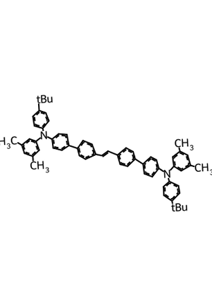 Cc1cc(C)cc(N(c2ccc(-c3ccc(/C=C/c4ccc(-c5ccc(N(c6ccc(C(C)(C)C)cc6)c6cc(C)cc(C)c6)cc5)cc4)cc3)cc2)c2ccc(C(C)(C)C)cc2)c1